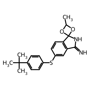 CC1OC2(NC(=N)c3cc(Sc4ccc(C(C)(C)C)cc4)ccc32)O1